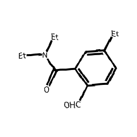 CCc1ccc(C=O)c(C(=O)N(CC)CC)c1